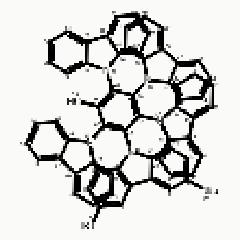 CC(C)(C)c1ccc2c(c1)c1cc(C(C)(C)C)ccc1n2-c1c(-n2c3c(c4ccccc42)=CCCC=3)c(-n2c3ccccc3c3ccccc32)c(-n2c3ccccc3c3ccccc32)c(C#N)c1-n1c2ccccc2c2ccccc21